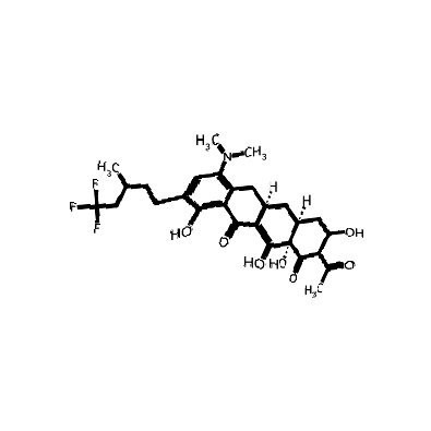 CC(=O)C1C(=O)[C@@]2(O)C(O)=C3C(=O)c4c(O)c(CCC(C)CC(F)(F)F)cc(N(C)C)c4C[C@H]3C[C@H]2CC1O